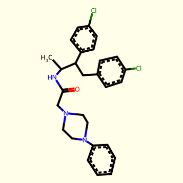 CC(NC(=O)CN1CCN(c2ccccc2)CC1)C(Cc1ccc(Cl)cc1)c1ccc(Cl)cc1